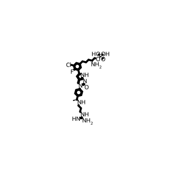 C[C@H](NCCCNC(=N)N)c1ccc(-n2cc3cc(-c4cc(CCC[C@@H](N)COP(=O)(O)O)cc(Cl)c4F)[nH]c3nc2=O)cc1